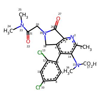 Cc1nc2c(c(-c3ccc(Cl)cc3Cl)c1N(C)C(=O)O)CN(CC(=O)N(C)C)C2=O